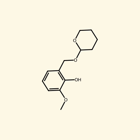 COc1cccc(COC2CCCCO2)c1O